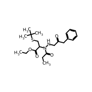 CCOC(=O)C(CSC(C)(C)C)N(NCC(=O)Cc1ccccc1)C(=O)CC